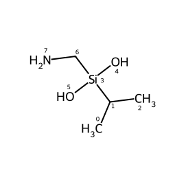 CC(C)[Si](O)(O)CN